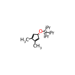 CC1=C[C](O[Si](C(C)C)(C(C)C)C(C)C)C=C1C